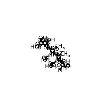 COc1cc(N=Nc2c(C)c(C#N)c3nc4ccccc4n3c2O)c(OCCCS(=O)(=O)O)cc1N=Nc1cc(NC(C)=O)c(N=Nc2nc3c(S(=O)(=O)O)cc4c(S(=O)(=O)O)cc(S(=O)(=O)O)cc4c3s2)cc1SCCCS(=O)(=O)O